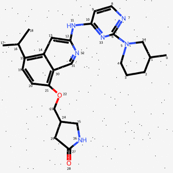 CC1CCCN(c2nccc(Nc3cc4c(C(C)C)ccc(OCC5CNC(=O)C5)c4cn3)n2)C1